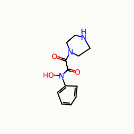 O=C(C(=O)N(O)c1ccccc1)N1CCNCC1